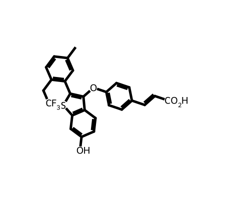 Cc1ccc(CC(F)(F)F)c(-c2sc3cc(O)ccc3c2Oc2ccc(/C=C/C(=O)O)cc2)c1